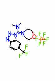 CN(C)C(N1CCOCC1)=[N+]1N=Nc2ccc(C(F)(F)F)cc21.F[P-](F)(F)(F)(F)F